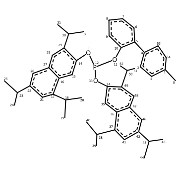 Cc1ccc(-c2ccccc2OP(Oc2cc3c(C(C)C)cc(C(C)C)cc3cc2C(C)C)Oc2cc3c(C(C)C)cc(C(C)C)cc3cc2C(C)C)cc1